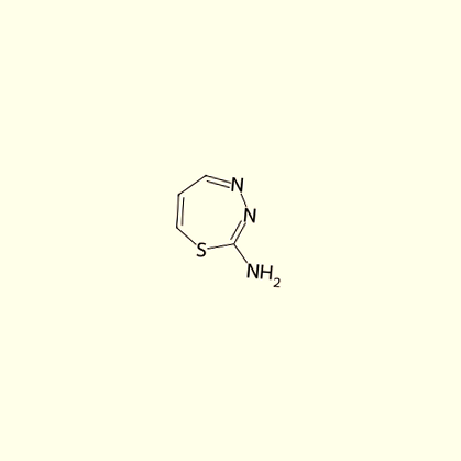 NC1=NN=CC=CS1